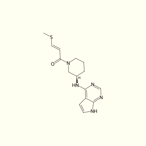 CSC=CC(=O)N1CCC[C@@H](Nc2ncnc3[nH]ccc23)C1